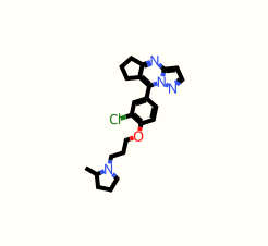 CC1CCCN1CCCOc1ccc(-c2c3c(nc4ccnn24)CCC3)cc1Cl